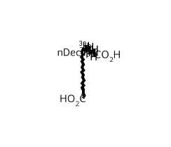 [3H]C(C(=O)O)=C([3H])C([3H])=C([3H])C([3H])([3H])CC(CCCCCCCCCC)CCCCCCCCCCCCCC=CC=CC(=O)O